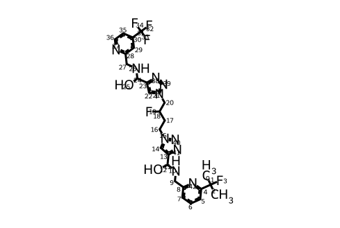 CC(C)(F)c1cccc(CNC(O)c2cn(CCC(F)Cn3cc(C(O)NCc4cc(C(F)(F)F)ccn4)nn3)nn2)n1